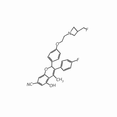 CC1=C(c2ccc(F)cc2)C(c2ccc(OCCN3CC(CF)C3)cc2)Oc2cc(C#N)cc(O)c21